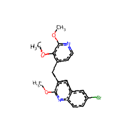 COc1nc2ccc(Br)cc2cc1Cc1ccnc(OC)c1OC